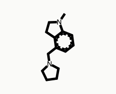 CN1CCc2c(CN3CCCC3)cccc21